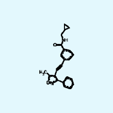 Cc1onc(-c2ccccc2)c1C#Cc1cccc(C(=O)NCC2CC2)c1